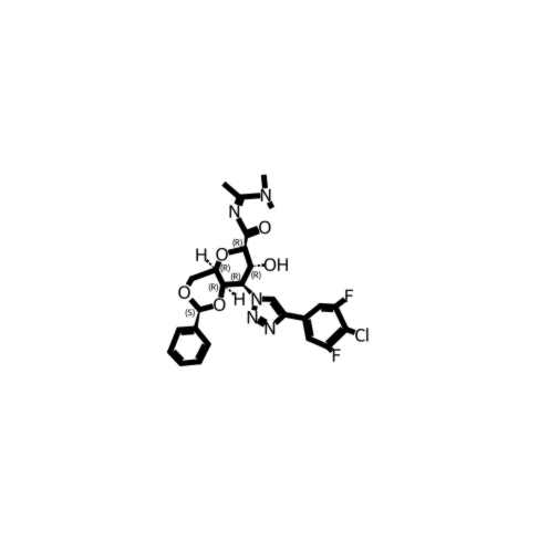 CC(=NC(=O)[C@@H]1O[C@@H]2CO[C@H](c3ccccc3)O[C@@H]2[C@H](n2cc(-c3cc(F)c(Cl)c(F)c3)nn2)[C@H]1O)N(C)C